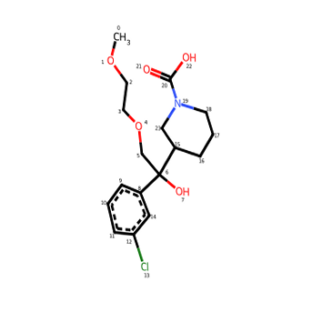 COCCOCC(O)(c1cccc(Cl)c1)C1CCCN(C(=O)O)C1